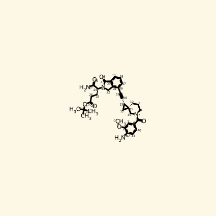 COc1cc(C(=O)N2CCC[C@@]3(C[C@@H]3C#Cc3cccc4c3CN([C@@H](CCC(=O)OC(C)(C)C)C(N)=O)C4=O)C2)ccc1N